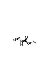 [CH2]CCSC(=O)NSCC